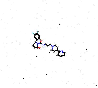 O=C1CCCC(c2ccc(F)c(F)c2)N1C(=O)NCCCN1CCC(c2ccccn2)CC1